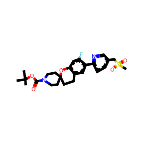 CC(C)(C)OC(=O)N1CCC2(CCc3cc(-c4ccc(CS(C)(=O)=O)cn4)c(F)cc3O2)CC1